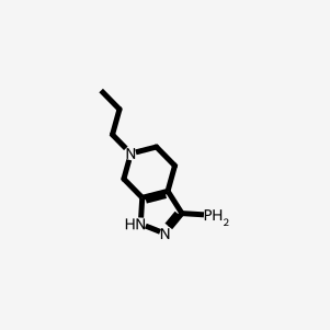 CCCN1CCc2c(P)n[nH]c2C1